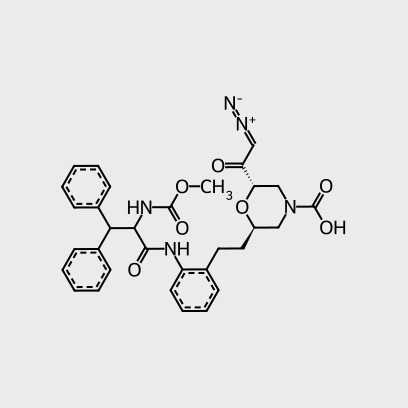 COC(=O)NC(C(=O)Nc1ccccc1CC[C@@H]1CN(C(=O)O)C[C@@H](C(=O)C=[N+]=[N-])O1)C(c1ccccc1)c1ccccc1